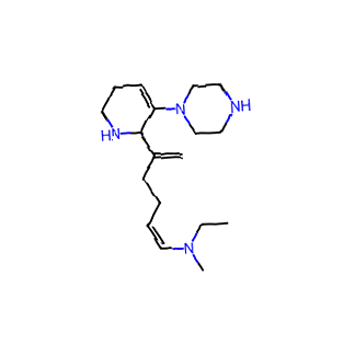 C=C(CC/C=C\N(C)CC)C1NCCC=C1N1CCNCC1